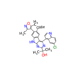 COc1cc2c(cc1-c1c(C)noc1C)[nH]c1nc(C(C)(C)O)nc(-c3ccnc4ccc(Cl)cc34)c12